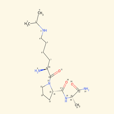 CC(C)NCCCC[C@H](N)C(=O)N1CCC[C@H]1C(=O)N[C@@H](C)C(N)=O